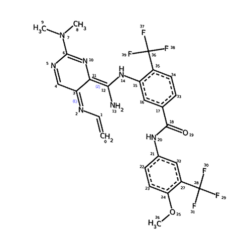 C=C/N=C1/C=NC(N(C)C)=N/C1=C(/N)Nc1cc(C(=O)Nc2ccc(OC)c(C(F)(F)F)c2)ccc1C(F)(F)F